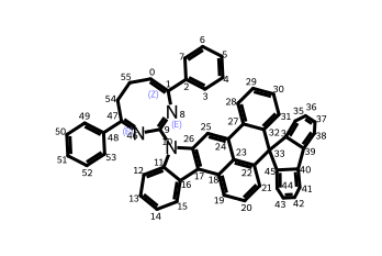 C1=C(c2ccccc2)/N=C(n2c3ccccc3c3c4cccc5c4c(cc32)-c2ccccc2C52c3ccccc3-c3ccccc32)\N=C(\c2ccccc2)CC\1